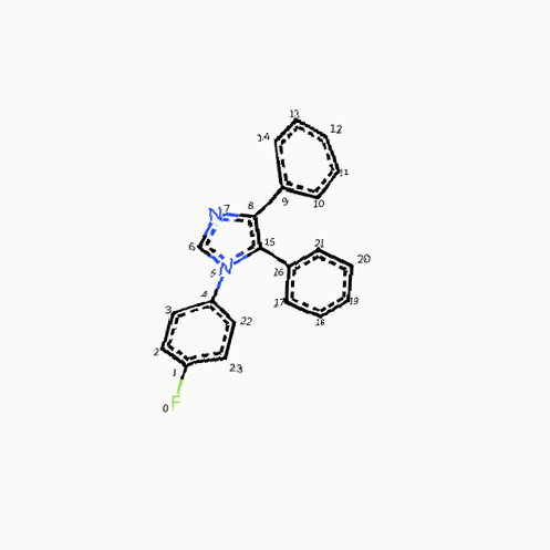 Fc1ccc(-n2cnc(-c3ccccc3)c2-c2ccccc2)cc1